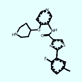 Cc1ccc(F)c(-c2nc(C(=O)Nc3cnccc3OC3CCNCC3)cs2)c1